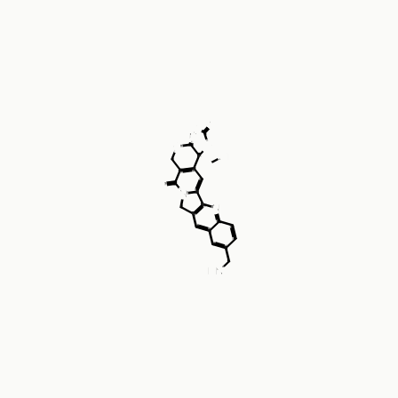 CC[C@@]1(OC(C)=O)C(=O)OCc2c1cc1n(c2=O)Cc2cc3cc(CN)ccc3nc2-1